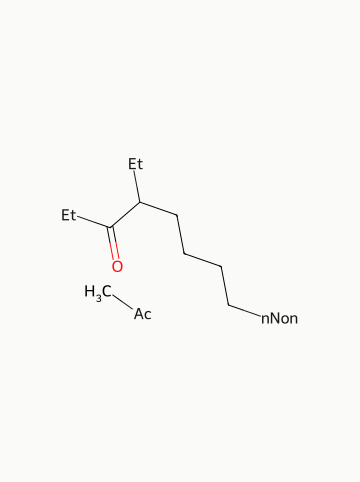 CC(C)=O.CCCCCCCCCCCCCC(CC)C(=O)CC